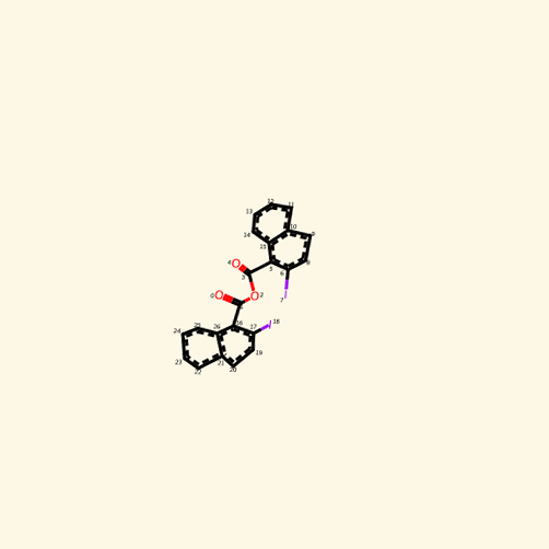 O=C(OC(=O)c1c(I)ccc2ccccc12)c1c(I)ccc2ccccc12